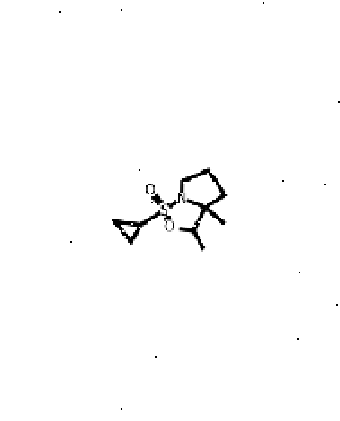 CC(C)C1(C)CCCN1S(=O)(=O)C1CC1